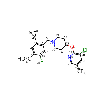 O=C(O)c1cc(C2CC2)c(CN2CCC(Oc3ncc(C(F)(F)F)cc3Cl)CC2)cc1F